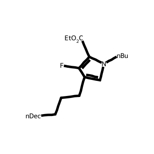 CCCCCCCCCCCCCc1cn(CCCC)c(C(=O)OCC)c1F